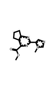 COC(=O)c1nc(-c2cncn2C)nc2c1CCC2